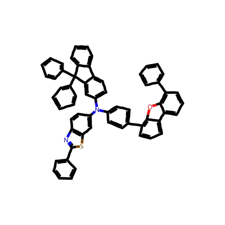 c1ccc(-c2nc3ccc(N(c4ccc(-c5cccc6c5oc5c(-c7ccccc7)cccc56)cc4)c4ccc5c(c4)C(c4ccccc4)(c4ccccc4)c4ccccc4-5)cc3s2)cc1